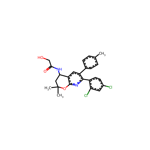 Cc1ccc(-c2cc3c(nc2-c2ccc(Cl)cc2Cl)OC(C)(C)CC3NC(=O)CO)cc1